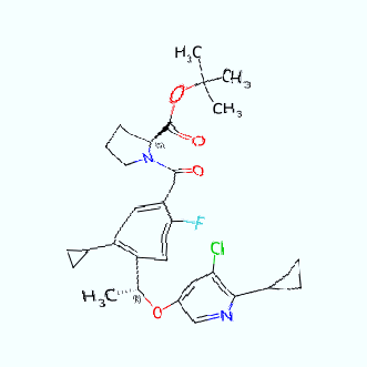 C[C@@H](Oc1cnc(C2CC2)c(Cl)c1)c1cc(F)c(C(=O)N2CCC[C@H]2C(=O)OC(C)(C)C)cc1C1CC1